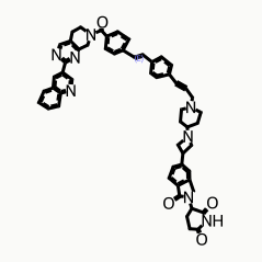 O=C1CCC(N2Cc3cc(C4CN(C5CCN(CC#Cc6ccc(/C=C/c7ccc(C(=O)N8CCc9cnc(-c%10cnc%11ccccc%11c%10)nc9C8)cc7)cc6)CC5)C4)ccc3C2=O)C(=O)N1